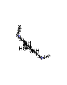 CCCCCCCC/C=C\CCCCCCCCNC(=O)CCCN(CCCO)CCCC(=O)NCCCCCCCC/C=C\CCCCCCCC